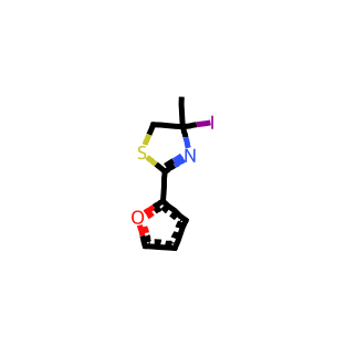 CC1(I)CSC(c2ccco2)=N1